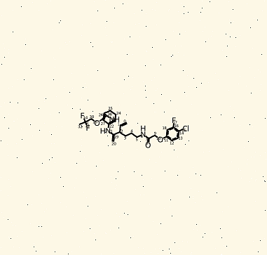 C=CC(CCCNC(=O)COc1ccc(Cl)c(F)c1)C(=C)NC1=C2CCC(=C1)C(OCC(C)(F)F)N2